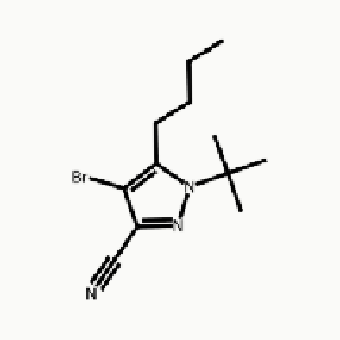 CCCCc1c(Br)c(C#N)nn1C(C)(C)C